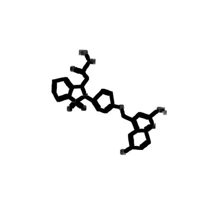 Cc1cc(COc2ccc(N3C(CC(=O)NO)c4ccccc4S3(=O)=O)cc2)c2cc(Cl)ccc2n1